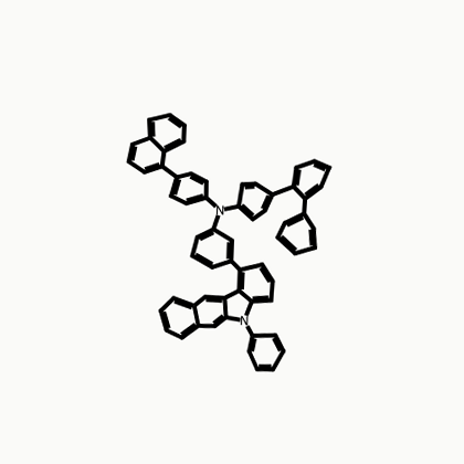 c1ccc(-c2ccccc2-c2ccc(N(c3ccc(-c4cccc5ccccc45)cc3)c3cccc(-c4cccc5c4c4cc6ccccc6cc4n5-c4ccccc4)c3)cc2)cc1